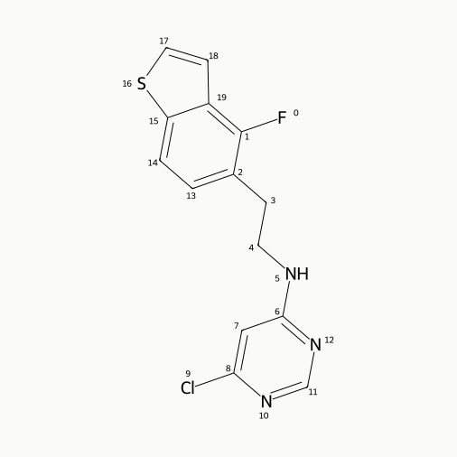 Fc1c(CCNc2cc(Cl)ncn2)ccc2sccc12